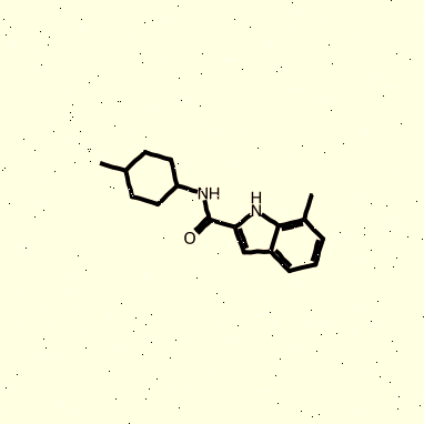 Cc1cccc2cc(C(=O)NC3CCC(C)CC3)[nH]c12